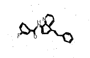 O=C(Nc1ccc(C=Cc2ccccc2)c2cccnc12)c1cccc(F)c1